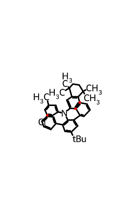 Cc1cc(Cl)cc(N(c2ccc3c(c2)C(C)(C)CCC3(C)C)c2c(-c3ccccc3)cc(C(C)(C)C)cc2-c2ccccc2)c1